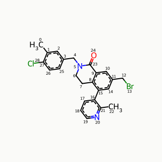 Cc1cc(CN2CCc3c(cc(CBr)cc3-c3cccnc3C)C2=O)ccc1Cl